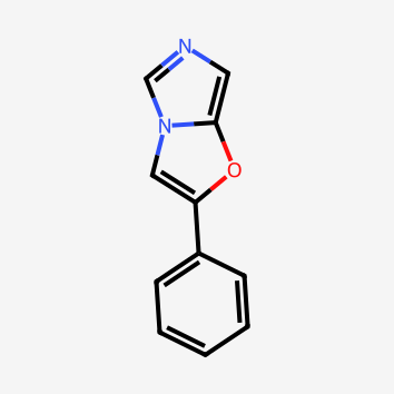 c1ccc(-c2cn3cncc3o2)cc1